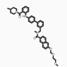 COCCOCOc1ccc2cc(C(=O)N(C)Cc3cccc(-c4ccc(Nc5ccccc5C(=O)N5CCC(C)CC5)cc4)c3)ccc2c1